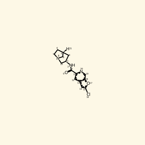 O=C(N[C@@H]1C[C@H]2CCN(C2)C1)c1cc2cc(Cl)oc2cn1